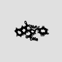 COC(=O)c1cc2ccccc2cc1C1CN(Cc2ccccc2)CC1C(=O)OC